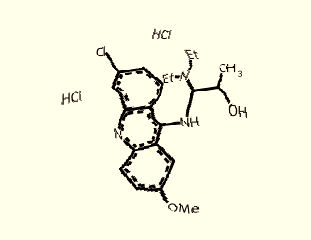 CCN(CC)C(Nc1c2ccc(Cl)cc2nc2ccc(OC)cc12)C(C)O.Cl.Cl